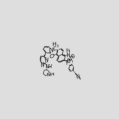 Cc1ccc2c(NS(=O)(=O)Cc3cccc(C#N)c3)c(F)ccc2c1Oc1ncccc1-c1ccnc(N[C@H]2CCCNC2)n1